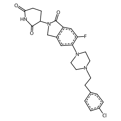 O=C1CCC(N2Cc3cc(N4CCN(CCc5ccc(Cl)cc5)CC4)c(F)cc3C2=O)C(=O)N1